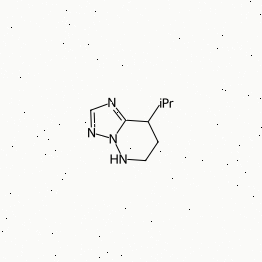 CC(C)C1CCNn2ncnc21